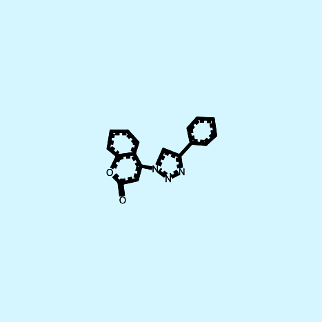 O=c1cc(-n2cc(-c3ccccc3)nn2)c2ccccc2o1